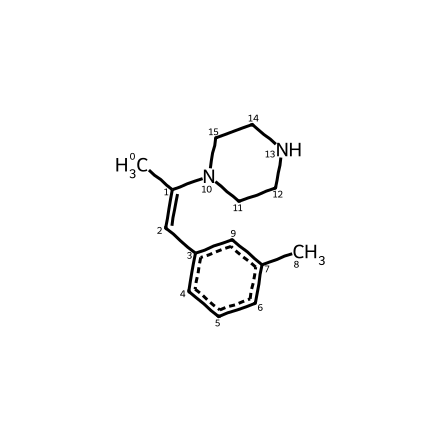 CC(=Cc1cccc(C)c1)N1CCNCC1